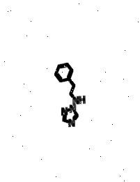 c1ccc(CCNn2cncn2)cc1